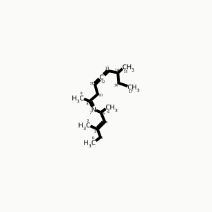 CC/C(C)=C/C(C)/N=C(/C)CC=C=CC(C)CC